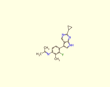 CC(C)=Nc1ccc(-c2c[nH]c3nc(C4CC4)ncc23)c(F)c1C